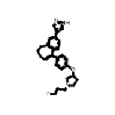 FCCCN1CCC(Oc2ccc(C3=CCCCc4cc(-c5cn[nH]c5)ccc43)cc2)C1